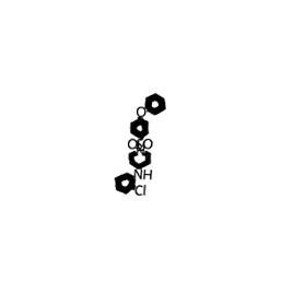 O=S(=O)(c1ccc(Oc2ccccc2)cc1)N1CCC(Nc2ccccc2Cl)CC1